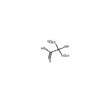 CCCCCCCCC(O)(CCCCCCCC)C(=S)S